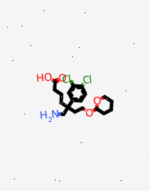 NCC(CCCC(=O)O)(CCOC1CCCCO1)c1ccc(Cl)c(Cl)c1